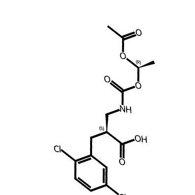 CC(=O)O[C@@H](C)OC(=O)NC[C@H](Cc1cc(Cl)ccc1Cl)C(=O)O